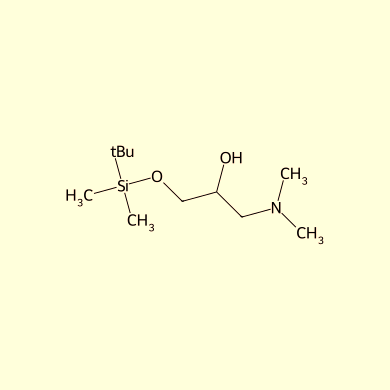 CN(C)CC(O)CO[Si](C)(C)C(C)(C)C